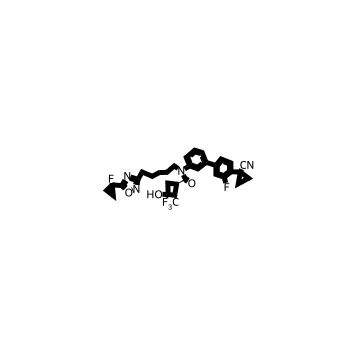 N#CC1(c2ccc(-c3cccc(N(CCCCCc4noc(C5(F)CC5)n4)C(=O)[C@H]4C[C@](O)(C(F)(F)F)C4)c3)cc2F)CC1